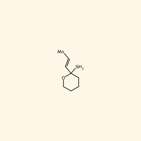 [SiH3]C1(C=[CH][Mo])CCCCO1